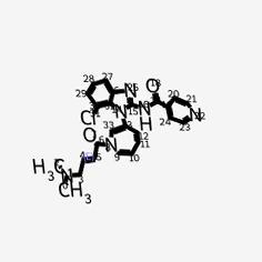 CN(C)C/C=C/C(=O)N1C=CC=CC(n2c(NC(=O)c3ccncc3)nc3cccc(Cl)c32)=C1